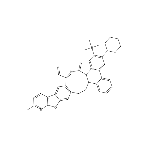 C=C/C1=N/C(=C)C2C(CCc3cc4oc5nc(C)ccc5c4cc31)c1ccccc1-c1cc(C3CCCCC3)c([Si](C)(C)C)c[n+]12